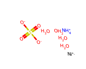 O.O.O.O.O=S(=O)([O-])[O-].[NH4+].[Ni+]